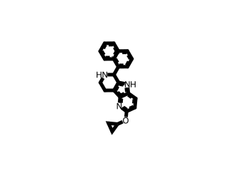 c1ccc2c(C3NCCc4c3[nH]c3ccc(OC5CC5)nc43)cccc2c1